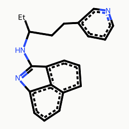 CCC(CCc1cccnc1)NC1=Nc2cccc3cccc1c23